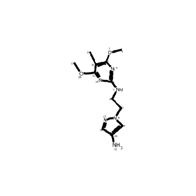 COc1nc(NCCn2cc(N)cn2)nc(OC)c1C